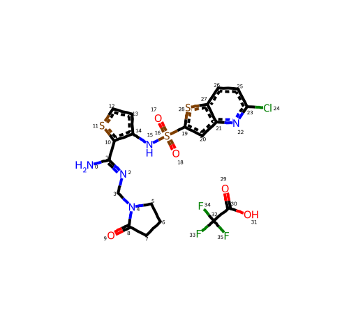 NC(=NCN1CCCC1=O)c1sccc1NS(=O)(=O)c1cc2nc(Cl)ccc2s1.O=C(O)C(F)(F)F